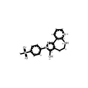 CS(=O)(=O)c1ccc(-n2nc3c(c2O)CCNc2ncccc2-3)cc1